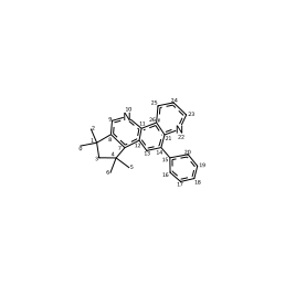 CC1(C)CC(C)(C)c2c1cnc1c2cc(-c2ccccc2)c2ncccc21